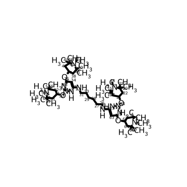 CN1C(C)(C)CC(OC2=NN(OC3CC(C)(C)N(C)C(C)(C)C3)NC(NCCCCCCNC3=CC(OC4CC(C)(C)N(C)C(C)(C)C4)=NN(OC4CC(C)(C)N(C)C(C)(C)C4)N3)=C2)CC1(C)C